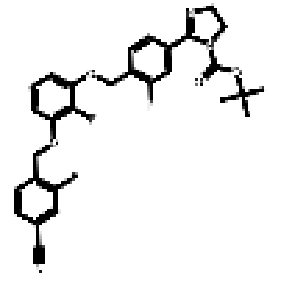 CC(C)(C)OC(=O)N1CCN=C1c1ccc(COc2cccc(OCc3ccc(C#N)cc3F)c2F)c(F)c1